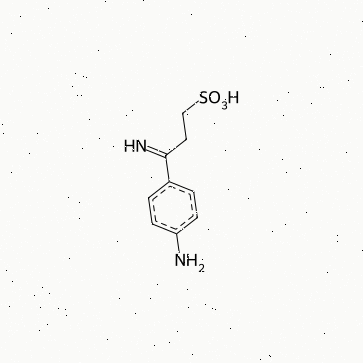 N=C(CCS(=O)(=O)O)c1ccc(N)cc1